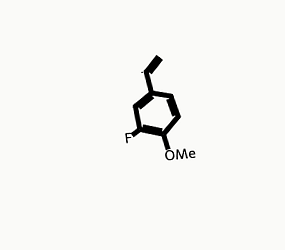 C=[C]c1ccc(OC)c(F)c1